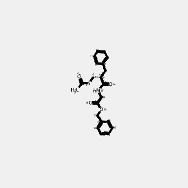 CC(=O)SC[C@H](Cc1ccccc1)C(=O)NCC(=O)OCc1ccccc1